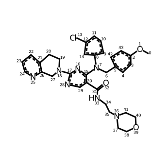 COc1ccc(CN(c2cccc(Cl)c2)c2nc(N3CCc4cccnc4C3)ncc2C(=O)NCCN2CCOCC2)cc1